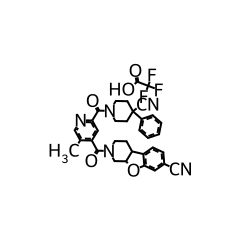 Cc1cnc(C(=O)N2CCC(C#N)(c3ccccc3)CC2)cc1C(=O)N1CCC2c3ccc(C#N)cc3OC2C1.O=C(O)C(F)(F)F